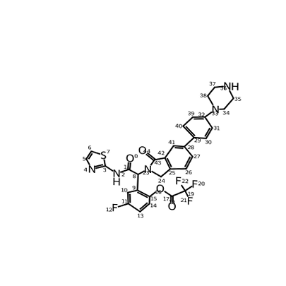 O=C(Nc1nccs1)C(c1cc(F)ccc1OC(=O)C(F)(F)F)N1Cc2ccc(-c3ccc(N4CCNCC4)cc3)cc2C1=O